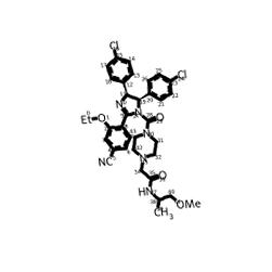 CCOc1cc(C#N)ccc1C1=N[C@@H](c2ccc(Cl)cc2)[C@@H](c2ccc(Cl)cc2)N1C(=O)N1CCN(CC(=O)NC(C)COC)CC1